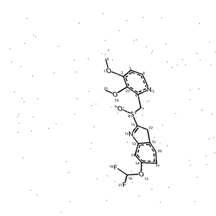 COc1ccnc(C[S+]([O-])C2=Nc3cc(OC(F)F)ccc3C2)c1OC